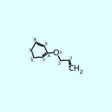 C=CCOC1=C[CH]CC=C1